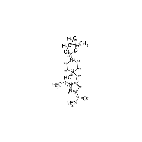 CCn1nc(C(N)=O)cc1CC1(O)CCN(C(=O)OC(C)(C)C)CC1